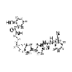 CC(C)(CCCNC(=O)c1ccccc1O)Cc1ccc(-c2ccc3nc(Nc4ccccc4C#N)nn3c2)cc1